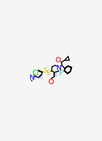 C=C(/C=C\C(Cl)=N/C)SSC1CCN(C(C(=O)C2CC2)c2ccccc2F)C/C1=C/C=O